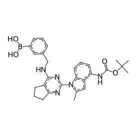 Cc1cc2c(NC(=O)OC(C)(C)C)cccc2n1-c1nc2c(c(NCc3cccc(B(O)O)c3)n1)CCC2